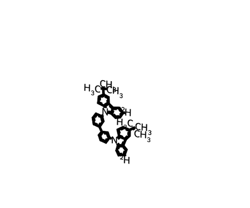 [2H]c1ccc2c(c1)c1cc(C(C)(C)C)ccc1n2-c1cccc(-c2cccc(-n3c4ccc([2H])cc4c4cc(C(C)(C)C)ccc43)c2)c1